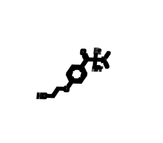 CCCC(CC)(C(=O)c1ccc(OCCO)cc1)N(C)C